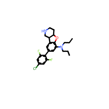 CCCN(CCC)c1cc(-c2c(F)cc(Cl)cc2F)cc2c1OC1CCNCC21